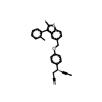 CC#C[C@@H](CC#N)c1ccc(OCc2ccc3sc(I)c(-c4ccccc4C)c3c2)cc1